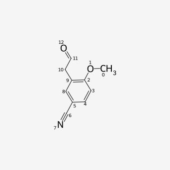 COc1ccc(C#N)cc1CC=O